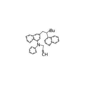 C#CCN(c1ccccc1)c1cc(CC(c2cccc3ccccc23)C(C)CC)cc2ccccc12